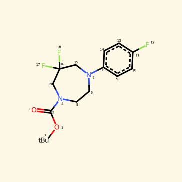 CC(C)(C)OC(=O)N1CCN(c2ccc(F)cc2)CC(F)(F)C1